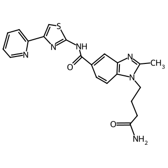 Cc1nc2cc(C(=O)Nc3nc(-c4ccccn4)cs3)ccc2n1CCCC(N)=O